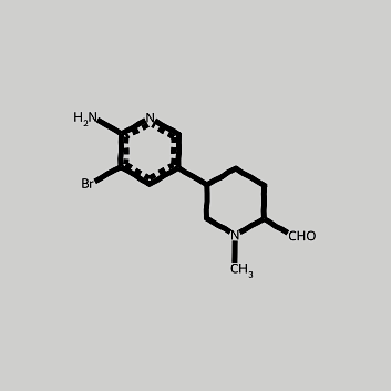 CN1CC(c2cnc(N)c(Br)c2)CCC1C=O